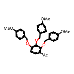 COc1ccc(COc2ccc(C(C)=O)c(OCc3ccc(OC)cc3)c2OCc2ccc(OC)cc2)cc1